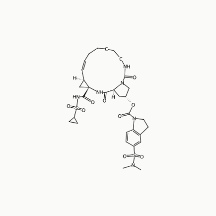 CN(C)S(=O)(=O)c1ccc2c(c1)CCN2C(=O)O[C@@H]1C[C@H]2C(=O)N[C@]3(C(=O)NS(=O)(=O)C4CC4)C[C@H]3/C=C\CCCCCNC(=O)N2C1